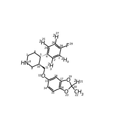 [2H]c1c([2H])c([C@H]2CCNC[C@@H]2COc2ccc3c(c2)OC([2H])(C)O3)c([2H])c([2H])c1F